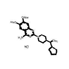 COc1cc2nc(N3CCC(C(O)C4CCCC4)CC3)nc(N)c2cc1OC.Cl